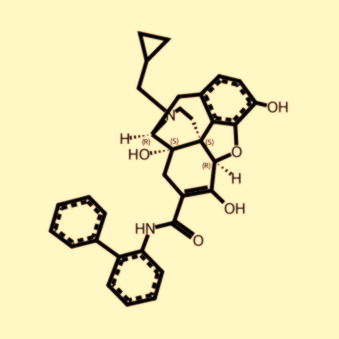 O=C(Nc1ccccc1-c1ccccc1)C1=C(O)[C@@H]2Oc3c(O)ccc4c3[C@@]23CCN(CC2CC2)[C@H](C4)[C@]3(O)C1